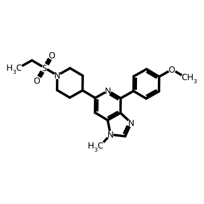 CCS(=O)(=O)N1CCC(c2cc3c(ncn3C)c(-c3ccc(OC)cc3)n2)CC1